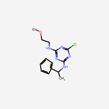 CCOCCNc1nc(Cl)nc(NC(C)c2ccccc2)n1